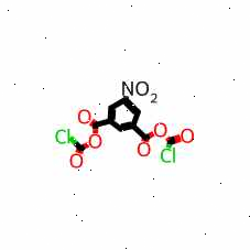 O=C(Cl)OC(=O)c1cc(C(=O)OC(=O)Cl)cc([N+](=O)[O-])c1